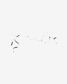 CC(=NOCCCCC1COC(C)(C(=O)O)OC1)c1ccc(C)cc1